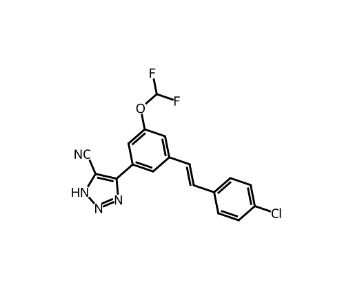 N#Cc1[nH]nnc1-c1cc(/C=C/c2ccc(Cl)cc2)cc(OC(F)F)c1